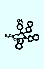 Cc1ccc(/C(CCN(C)C)=C(/B(c2ccc3ccccc3c2)c2ccc3ccccc3c2)c2ccc3ccccc3c2)cc1